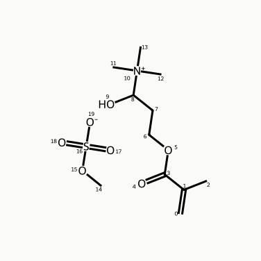 C=C(C)C(=O)OCCC(O)[N+](C)(C)C.COS(=O)(=O)[O-]